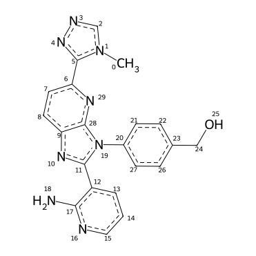 Cn1cnnc1-c1ccc2nc(-c3cccnc3N)n(-c3ccc(CO)cc3)c2n1